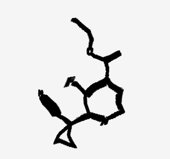 C=C(OCC)c1ccnc(C2(C#N)CC2)c1F